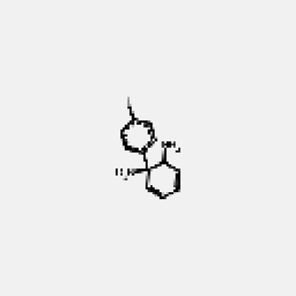 NC1C=CC=CC1(c1ccc(I)cc1)[N+](=O)[O-]